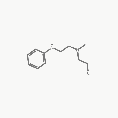 CN(CCCl)CCNc1ccccc1